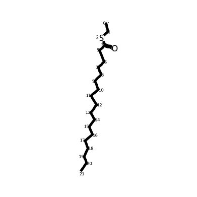 [CH2]CSC(=O)CCCCCCCCCCCCCCCCC